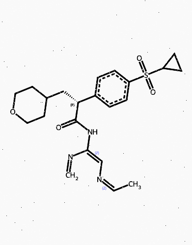 C=N/C(=C\N=C/C)NC(=O)[C@H](CC1CCOCC1)c1ccc(S(=O)(=O)C2CC2)cc1